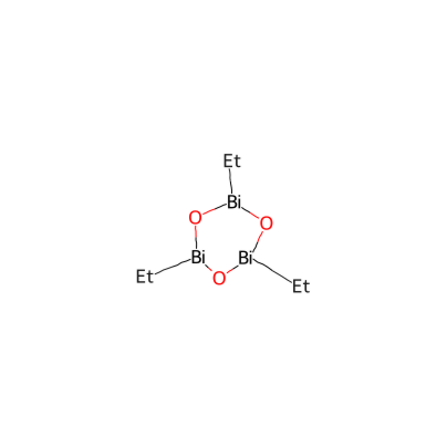 C[CH2][Bi]1[O][Bi]([CH2]C)[O][Bi]([CH2]C)[O]1